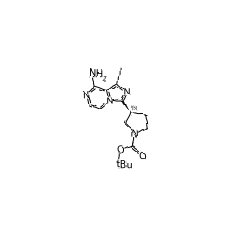 CC(C)(C)OC(=O)N1CC[C@H](c2nc(I)c3c(N)nccn23)C1